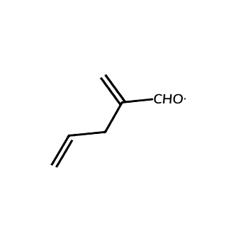 C=CCC(=C)[C]=O